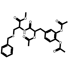 COC(=O)C(CSCc1ccccc1)NC(=O)C(Cc1ccc(OC(C)=O)c(OC(C)=O)c1)OC(C)=O